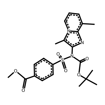 COC(=O)c1ccc(S(=O)(=O)N(C(=O)OC(C)(C)C)c2nc3c(C)cccn3c2C)cc1